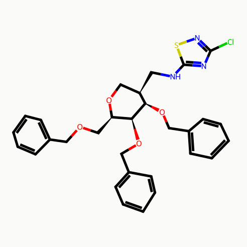 Clc1nsc(NC[C@@H]2CO[C@H](COCc3ccccc3)[C@H](OCc3ccccc3)[C@@H]2OCc2ccccc2)n1